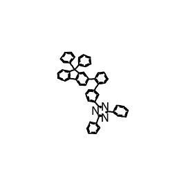 c1ccc(-c2nc(-c3ccccc3)nc(-c3cccc(-c4ccccc4-c4ccc5c(c4)C(c4ccccc4)(c4ccccc4)c4ccccc4-5)c3)n2)cc1